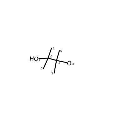 CC(C)([O])C(C)(C)O